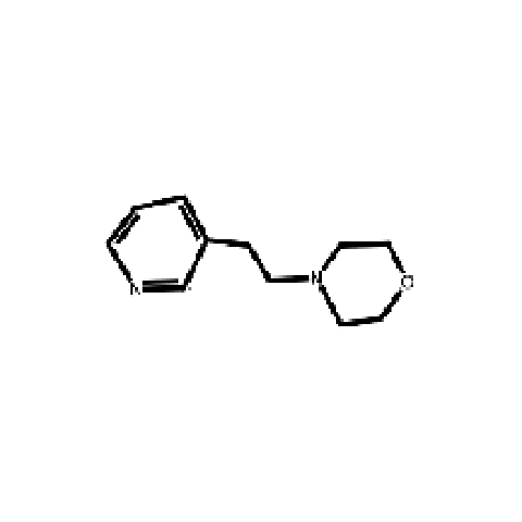 [c]1ncccc1CCN1CCOCC1